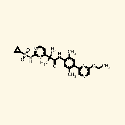 CCOc1cncc(-c2cc(C)c(NC(=O)C(C)(C)c3ccnc(NS(=O)(=O)C4CC4)n3)cc2C)n1